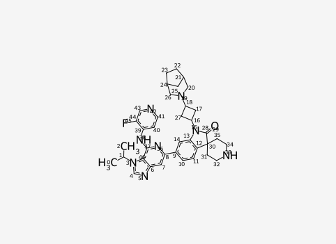 CC(C)n1cnc2cc(-c3ccc4c(c3)N(C3CC(N5CC6CCC(C6)C5)C3)C(=O)C43CCNCC3)nc(Nc3ccncc3F)c21